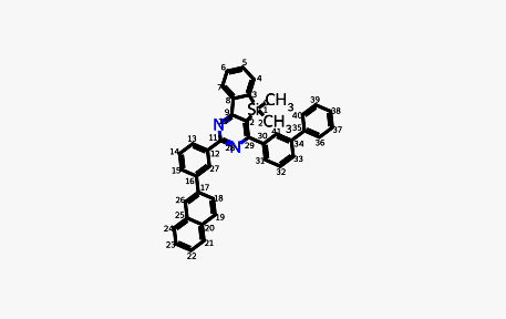 C[Si]1(C)c2ccccc2-c2nc(-c3cccc(-c4ccc5ccccc5c4)c3)nc(-c3cccc(-c4ccccc4)c3)c21